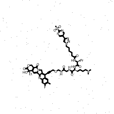 CC[C@@]1(O)C(=O)OCc2c1cc1n(c2=O)Cc2c-1nc1cc(F)c(C)cc1c2C#CCOCNC(=O)CNC(=O)[C@H](CCCCN(C)C)NC(=O)[C@@H](NC(=O)CCCCCn1cc(-c2cnc(S(C)(=O)=O)nc2)nn1)C(C)C